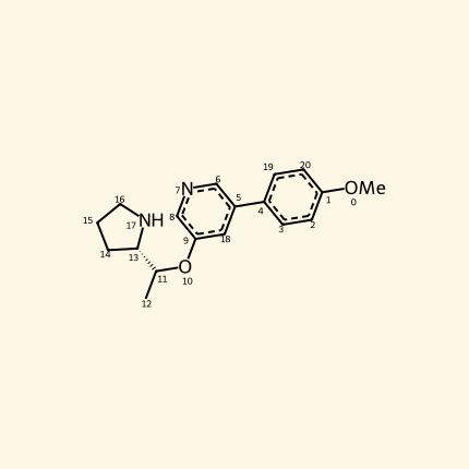 COc1ccc(-c2cncc(OC(C)[C@@H]3CCCN3)c2)cc1